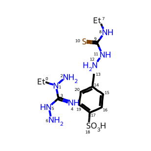 CCN(N)C(=N)NN.CCNC(=S)NN.Cc1ccc(S(=O)(=O)O)cc1